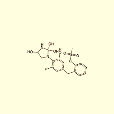 CS(=O)(=O)Oc1ccccc1Cc1cc(O)c(N2CC(O)NS2(O)O)c(F)c1